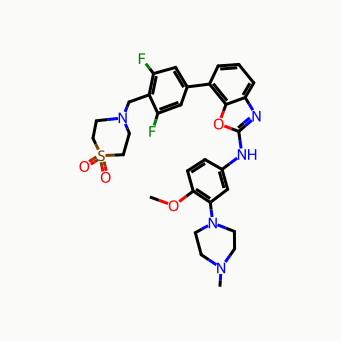 COc1ccc(Nc2nc3cccc(-c4cc(F)c(CN5CCS(=O)(=O)CC5)c(F)c4)c3o2)cc1N1CCN(C)CC1